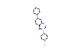 COc1ccc(-n2cnc3cc(-c4ccc(F)cc4)ccc3c2=O)cc1